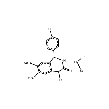 CCC1C(=O)NC(c2ccc(Cl)cc2)c2cc(OC)c(OC)cc21.CCNCC